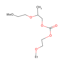 CCOCCOC(=O)OCC(C)OCCOC